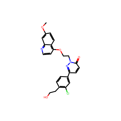 COc1ccc2c(OCCn3nc(-c4ccc(CCO)c(Cl)c4)ccc3=O)ccnc2c1